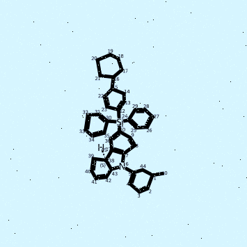 CC1C=CC=C(N2c3ccc([Si](C4=CCC(C5CCCCC5)C=C4)(c4ccccc4)c4ccccc4)cc3[C@@H]3C=CC=CC32)C1